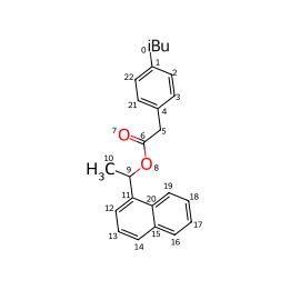 CCC(C)c1ccc(CC(=O)OC(C)c2cccc3ccccc23)cc1